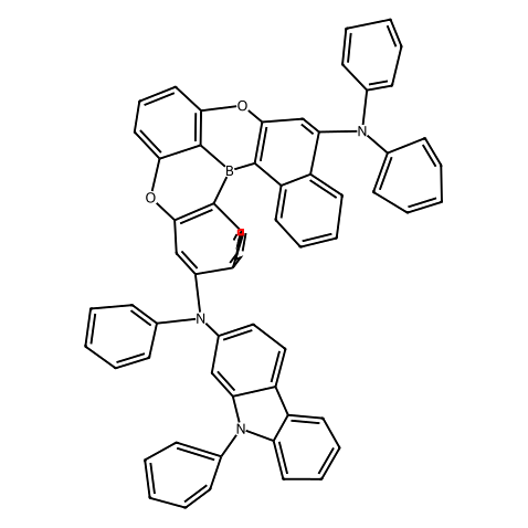 c1ccc(N(c2ccccc2)c2cc3c(c4ccccc24)B2c4c(cccc4Oc4cc(N(c5ccccc5)c5ccc6c7ccccc7n(-c7ccccc7)c6c5)c5ccccc5c42)O3)cc1